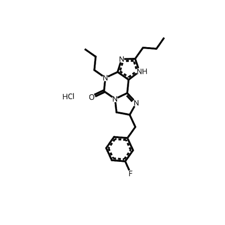 CCCc1nc2c([nH]1)C1=NC(Cc3cccc(F)c3)CN1C(=O)N2CCC.Cl